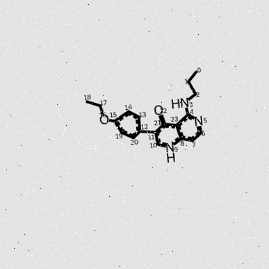 CCCNc1nccc2[nH]cc(-c3ccc(OCC)cc3)c(=O)c12